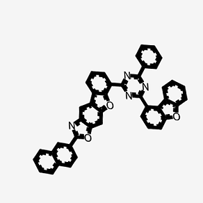 c1ccc(-c2nc(-c3cccc4c3oc3cc5oc(-c6ccc7ccccc7c6)nc5cc34)nc(-c3cccc4oc5ccccc5c34)n2)cc1